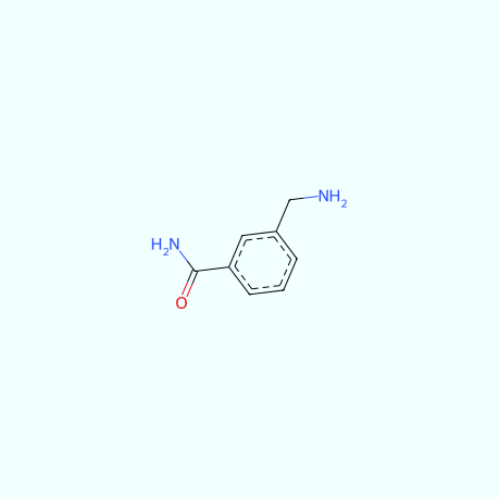 NCc1cccc(C(N)=O)c1